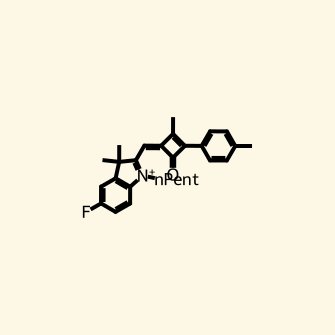 CCCCC[N+]1=C(/C=C2\C(=O)C(c3ccc(C)cc3)=C2C)C(C)(C)c2cc(F)ccc21